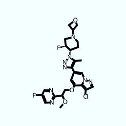 COC(COc1cc(-c2nnn([C@@H]3CCN(C4COC4)C[C@@H]3F)c2C)cn2ncc(Cl)c12)c1ncc(F)cn1